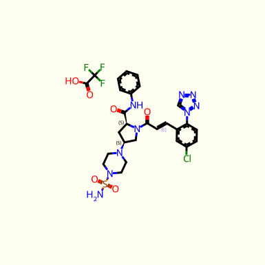 NS(=O)(=O)N1CCN([C@H]2C[C@@H](C(=O)Nc3ccccc3)N(C(=O)/C=C/c3cc(Cl)ccc3-n3cnnn3)C2)CC1.O=C(O)C(F)(F)F